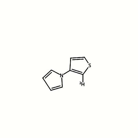 [2H]c1sccc1-n1cccc1